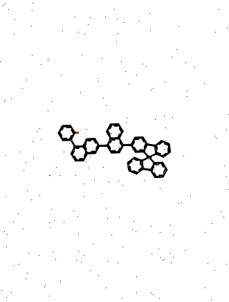 c1ccc2c(c1)Sc1cc(-c3ccc(-c4ccc5c(c4)C4(c6ccccc6-c6ccccc64)c4ccccc4-5)c4ccccc34)cc3cccc-2c13